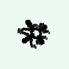 CCCCOc1c2c(c(OCCCC)c3cc4ccccc4cc13)-c1nc-2nc2[nH]c(nc3nc(nc4[nH]c(n1)c1c(OCCCC)c5cc6ccccc6cc5c(C)c41)-c1c-3c(OC)c3ccccc3c1OC)c1c(C)c3ccccc3c(OC)c21